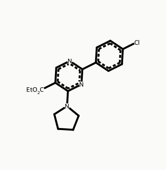 CCOC(=O)c1cnc(-c2ccc(Cl)cc2)nc1N1CCCC1